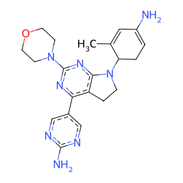 CC1=CC(N)=CCC1N1CCc2c(-c3cnc(N)nc3)nc(N3CCOCC3)nc21